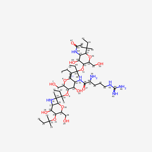 CC/C(=C1\OC(CO)C(OC(C)(CC)C2(C)NC3C(O)C(OC(C)(C)CC)C(CO)OC32)C(O)C1NC(=O)[C@@H](N)CCCNC(=N)N)C(C)(CC)OC1C(CO)OC(C(C)(C)CC)C(NC(C)=O)C1O